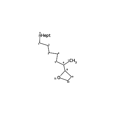 CCCCCCCCCCCCC(C)C1CCO1